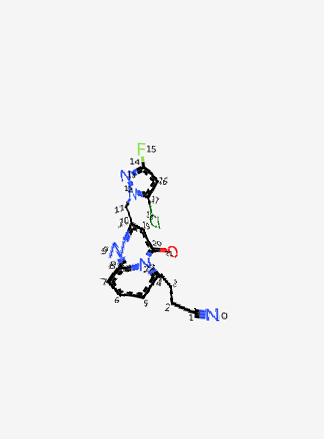 N#CCCc1cccc2nc(Cn3nc(F)cc3Cl)cc(=O)n12